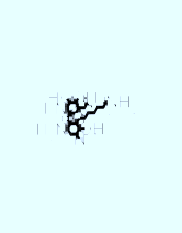 NCCCCCCOC1C(O)C(N)CC(N)C1OC1OC(CN)C(O)C(O)C1N